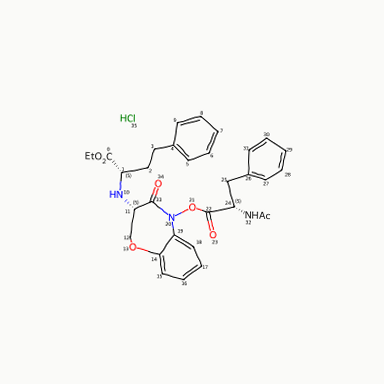 CCOC(=O)[C@H](CCc1ccccc1)N[C@H]1COc2ccccc2N(OC(=O)[C@H](Cc2ccccc2)NC(C)=O)C1=O.Cl